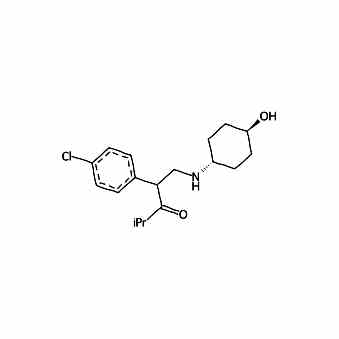 CC(C)C(=O)C(CN[C@H]1CC[C@H](O)CC1)c1ccc(Cl)cc1